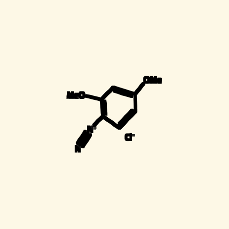 COc1ccc([N+]#N)c(OC)c1.[Cl-]